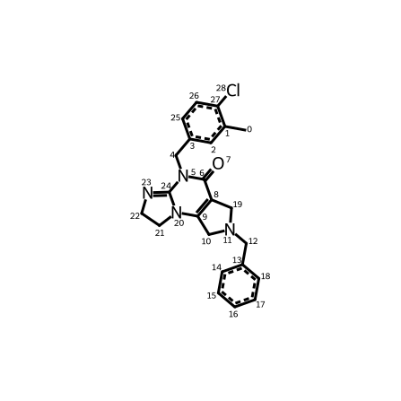 Cc1cc(CN2C(=O)C3=C(CN(Cc4ccccc4)C3)N3CCN=C23)ccc1Cl